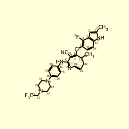 Cc1cc2c(F)c(O/C3=C(C#N)/C(Nc4ccc(N5CCN(CC(F)(F)F)CC5)cc4)=N\C=C\CC3C)ccc2[nH]1